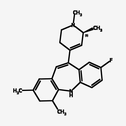 CC1=CC2=C(Nc3ccc(F)cc3C(C3=C[C@H](C)N(C)CC3)=C2)C(C)C1